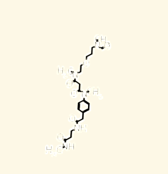 CNC(=O)CCNC(=O)Cc1ccc(N(C)C(=O)CC(=O)N(C)CCOCCCN(C)C=O)cc1